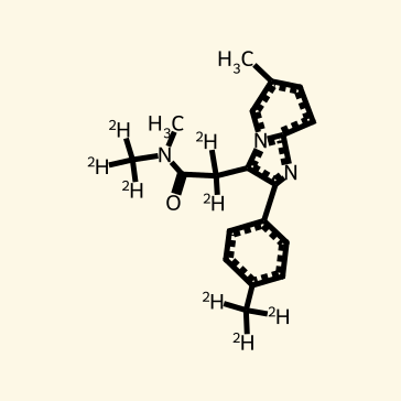 [2H]C([2H])([2H])c1ccc(-c2nc3ccc(C)cn3c2C([2H])([2H])C(=O)N(C)C([2H])([2H])[2H])cc1